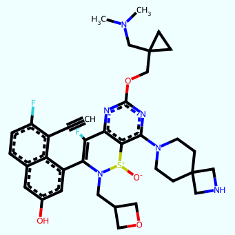 C#Cc1c(F)ccc2cc(O)cc(C3=C(F)c4nc(OCC5(CN(C)C)CC5)nc(N5CCC6(CC5)CNC6)c4[S+]([O-])N3CC3COC3)c12